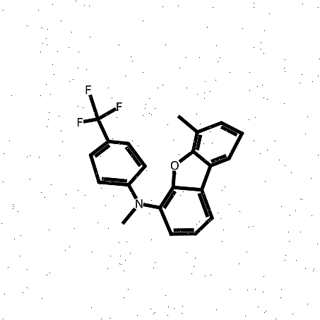 Cc1cccc2c1oc1c(N(C)c3ccc(C(F)(F)F)cc3)cccc12